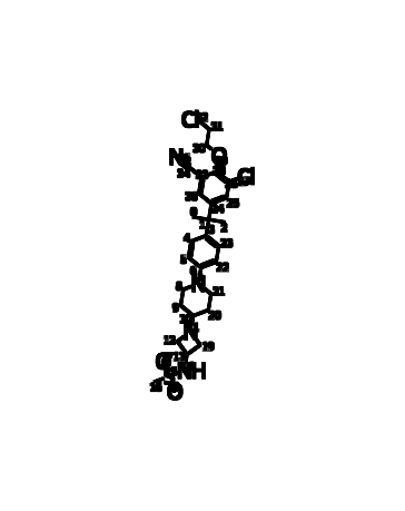 CC(C)(c1ccc(N2CCC(N3CC(NS(C)(=O)=O)C3)CC2)cc1)c1cc(Cl)c(OCCCl)c(C#N)c1